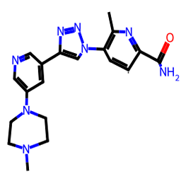 Cc1nc(C(N)=O)[c]cc1-n1cc(-c2cncc(N3CCN(C)CC3)c2)nn1